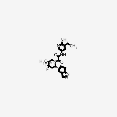 CCc1cc(NC(=O)C(=O)N2C[C@@H](C)C(F)(F)C[C@H]2c2ccc3[nH]ncc3c2)cnc1N